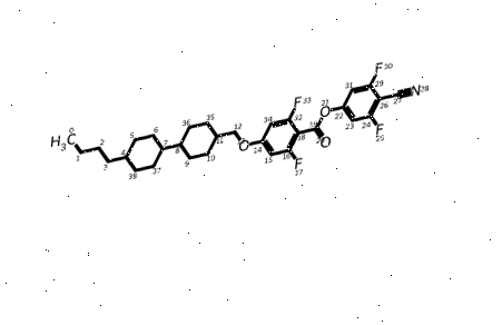 CCCCC1CCC(C2CCC(COc3cc(F)c(C(=O)Oc4cc(F)c(C#N)c(F)c4)c(F)c3)CC2)CC1